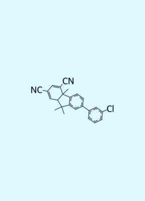 CC1(C)c2cc(-c3cccc(Cl)c3)ccc2C2(C)C(C#N)=CC(C#N)=CC12